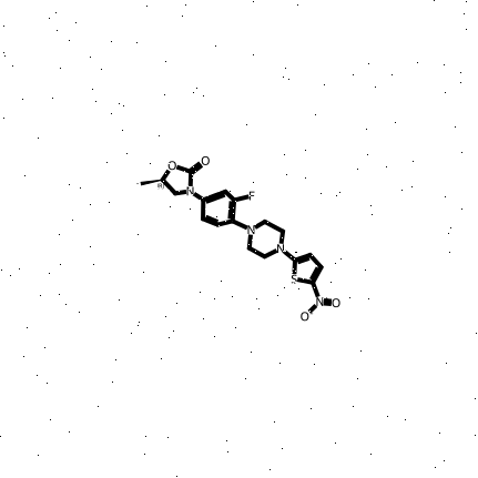 [CH2][C@@H]1CN(c2ccc(N3CCN(c4ccc([N+](=O)[O-])s4)CC3)c(F)c2)C(=O)O1